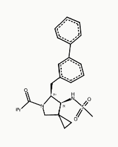 CC(C)C(=O)N1CC2(CC2)[C@H](NS(C)(=O)=O)[C@@H]1Cc1cccc(-c2ccccc2)c1